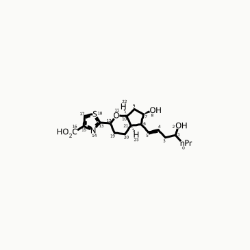 CCCC(O)C/C=C/C1[C@H](O)C[C@@H]2OC(c3nc(C(=O)O)cs3)CC[C@H]12